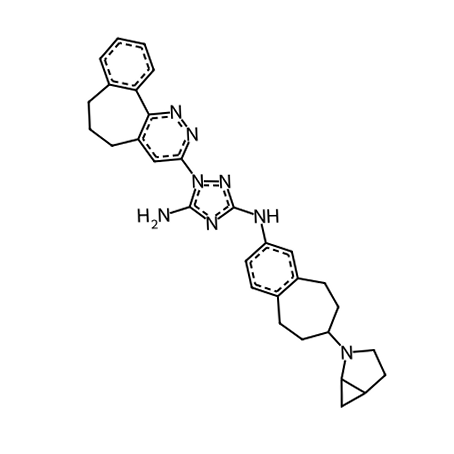 Nc1nc(Nc2ccc3c(c2)CCC(N2CCC4CC42)CC3)nn1-c1cc2c(nn1)-c1ccccc1CCC2